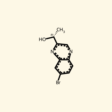 C[C@@H](O)c1cnc2ccc(Br)cc2n1